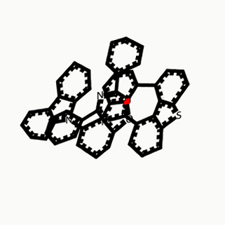 c1ccc(-c2nc(-c3ccccc3)nc(-c3cccc4sc5cccc(-c6cccc7c6oc6cccc(-n8c9ccccc9c9ccccc98)c67)c5c34)n2)cc1